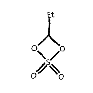 CCC1OS(=O)(=O)O1